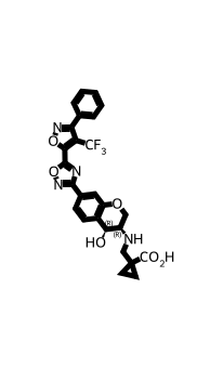 O=C(O)C1(CN[C@@H]2COc3cc(-c4noc(-c5onc(-c6ccccc6)c5C(F)(F)F)n4)ccc3[C@H]2O)CC1